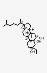 CC[C@]1(O)CC[C@]2(C)[C@H]3CC[C@]4(C)[C@@H]([C@H](C)CCCC(C)C)CC[C@H]4[C@@H]3C[C@H](O)[C@@]2(O)C1